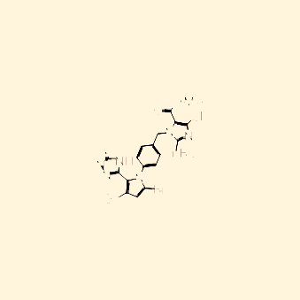 CCCCc1nc(Cl)c(C(=O)OC)n1Cc1ccc(-n2c(Br)cc(Br)c2-c2nnn[nH]2)cc1